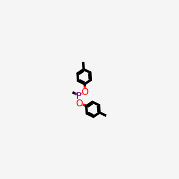 Cc1ccc(OP(C)Oc2ccc(C)cc2)cc1